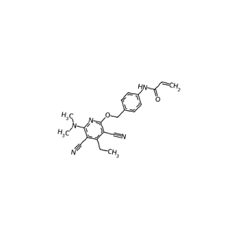 C=CC(=O)Nc1ccc(COc2nc(N(C)C)c(C#N)c(CC)c2C#N)cc1